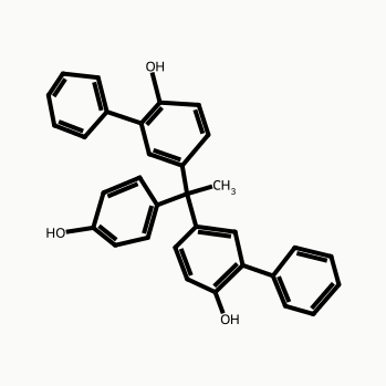 CC(c1ccc(O)cc1)(c1ccc(O)c(-c2ccccc2)c1)c1ccc(O)c(-c2ccccc2)c1